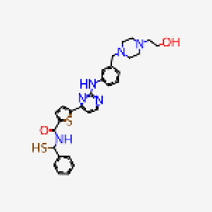 O=C(N[C@H](S)c1ccccc1)c1ccc(-c2ccnc(Nc3cccc(CN4CCN(CCO)CC4)c3)n2)s1